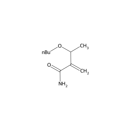 C=C(C(N)=O)C(C)OCCCC